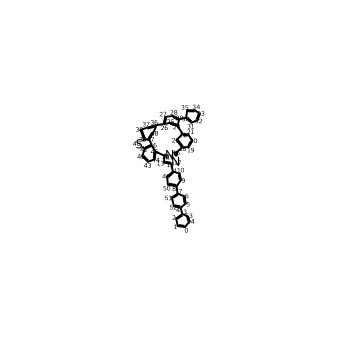 c1ccc(-c2ccc(-c3ccc(-c4cc5nc(n4)c4cccc(c4)c4cc(ccc4-c4ccccc4)c4ccc6sc7cccc5c7c6c4)cc3)cc2)cc1